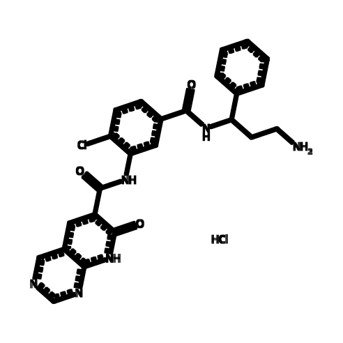 Cl.NCCC(NC(=O)c1ccc(Cl)c(NC(=O)c2cc3cncnc3[nH]c2=O)c1)c1ccccc1